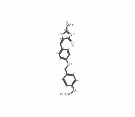 CCCCCOc1ccc(COc2ccc(C=C3SC(SC)=NC3=O)cc2)cc1